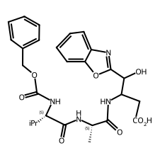 CC(C)[C@H](NC(=O)OCc1ccccc1)C(=O)N[C@@H](C)C(=O)NC(CC(=O)O)C(O)c1nc2ccccc2o1